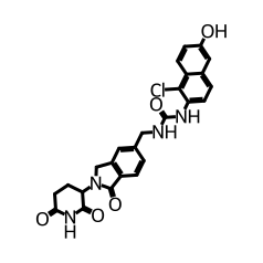 O=C1CCC(N2Cc3cc(CNC(=O)Nc4ccc5cc(O)ccc5c4Cl)ccc3C2=O)C(=O)N1